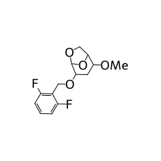 COC1CC(OCc2c(F)cccc2F)C2OCC1O2